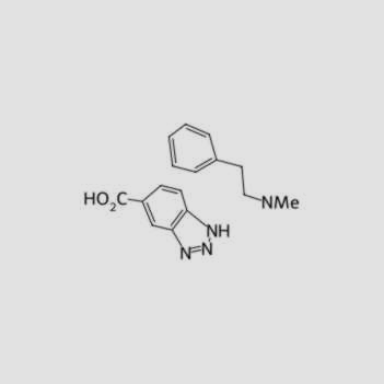 CNCCc1ccccc1.O=C(O)c1ccc2[nH]nnc2c1